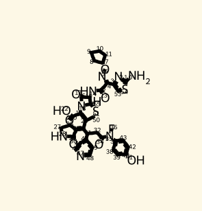 Nc1nc(C(=NOC2CCCC2)C(=O)N[C@@H]2C(=O)N3C(C(=O)O)=C(C(=C4CCNC4=O)C(CC(=O)N(F)c4ccc(O)cc4)c4ccncc4)CS[C@H]23)cs1